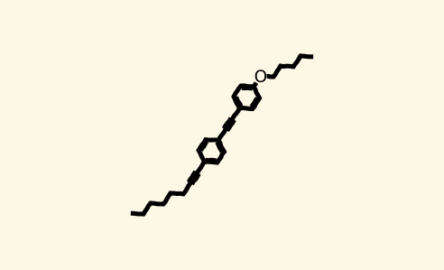 CCCCCCC#Cc1ccc(C#Cc2ccc(OCCCCC)cc2)cc1